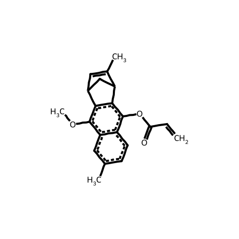 C=CC(=O)Oc1c2c(c(OC)c3cc(C)ccc13)C1C=C(C)C2C1